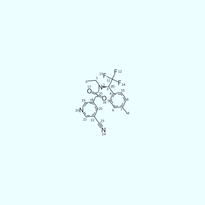 CCN([C@H](c1ccc(C)cc1)C(F)(F)F)S(=O)(=O)c1cncc(C#N)c1